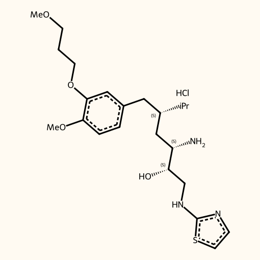 COCCCOc1cc(C[C@@H](C[C@H](N)[C@@H](O)CNc2nccs2)C(C)C)ccc1OC.Cl